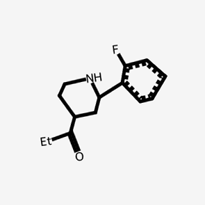 CCC(=O)C1CCNC(c2ccccc2F)C1